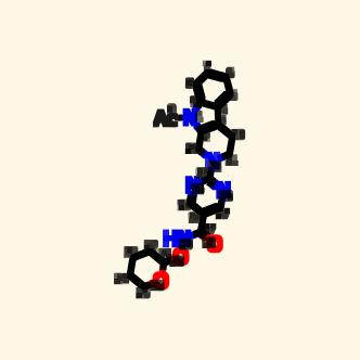 CC(=O)n1c2c(c3ccccc31)CCN(c1ncc(C(=O)NOC3CCCCO3)cn1)C2